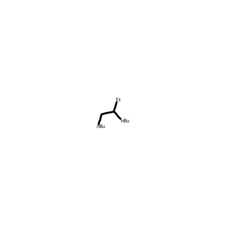 C[CH]CCCC(CC)CCCC